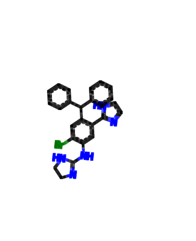 Brc1cc(C(c2ccccc2)c2ccccc2)c(-c2ncc[nH]2)cc1NC1=NCCN1